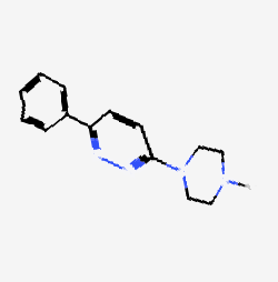 CC(C)N1CCN(c2ccc(-c3ccccc3)nn2)CC1